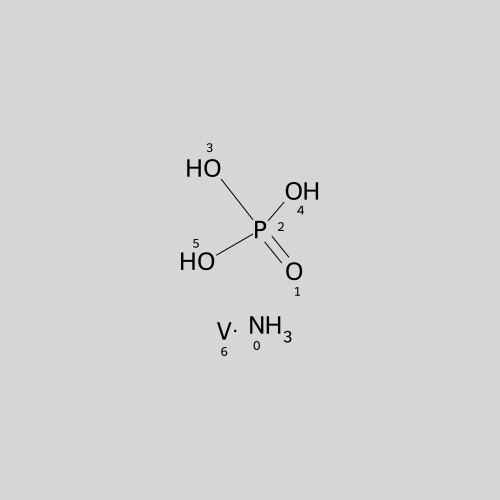 N.O=P(O)(O)O.[V]